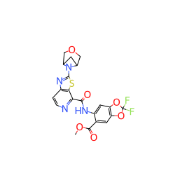 COC(=O)c1cc2c(cc1NC(=O)c1nccc3nc(N4C5COCC4C5)sc13)OC(F)(F)O2